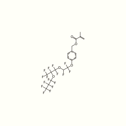 C=C(C)C(=O)OCc1ccc(OC(F)(F)C(F)OC(F)(F)C(F)(OC(F)(F)C(F)(F)C(F)(F)F)C(F)(F)F)cc1